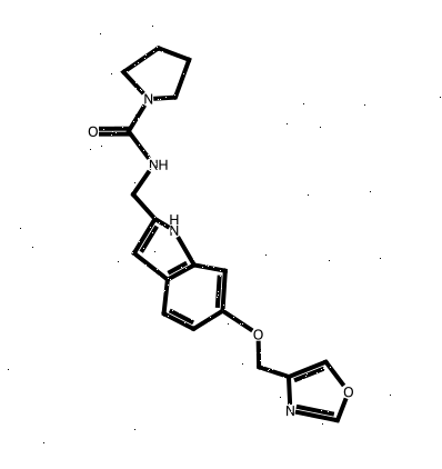 O=C(NCc1cc2ccc(OCc3cocn3)cc2[nH]1)N1CCCC1